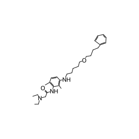 CCN(CC)CC(=O)Nc1c(C)ccc(NCCCCCOCCCCc2ccccc2)c1C